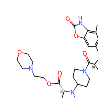 Cc1cc(C[C@@H](C)C(=O)N2CCC(N3CCC[C@@H]3C(=O)OCCN3CCOCC3)CC2)cc2oc(=O)[nH]c12